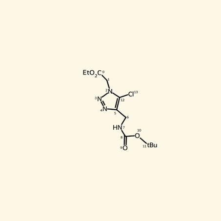 CCOC(=O)Cn1nnc(CNC(=O)OC(C)(C)C)c1Cl